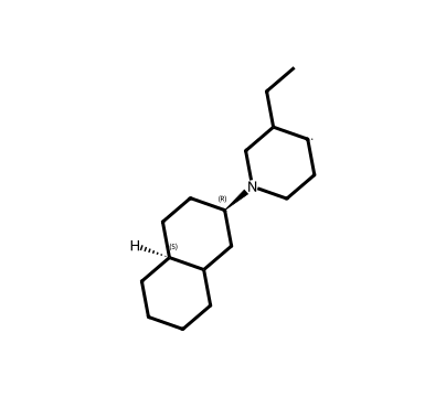 CCC1[CH]CCN([C@@H]2CC[C@@H]3CCCCC3C2)C1